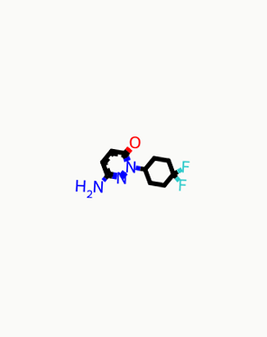 Nc1ccc(=O)n(C2CCC(F)(F)CC2)n1